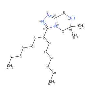 CCCCCCC(CCCCCC)c1nnc2n1CC(C)(C)NC2